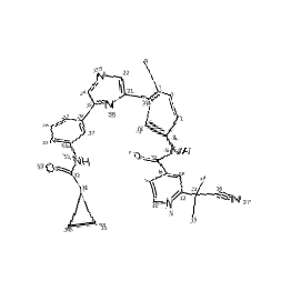 Cc1ccc(NC(=O)c2ccnc(C(C)(C)C#N)c2)cc1-c1cncc(-c2ccnc(NC(=O)C3CC3)c2)n1